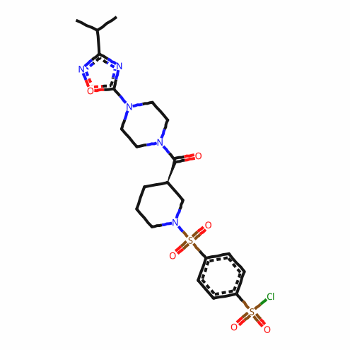 CC(C)c1noc(N2CCN(C(=O)[C@@H]3CCCN(S(=O)(=O)c4ccc(S(=O)(=O)Cl)cc4)C3)CC2)n1